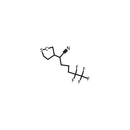 N#CC(CCCC(F)(F)C(F)(F)F)C1CCSCC1